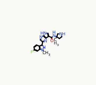 Cn1nc(-c2cnc3[nH]cc(C(=O)NC4(C)CCNC4)c3n2)c2ccc(F)cc21